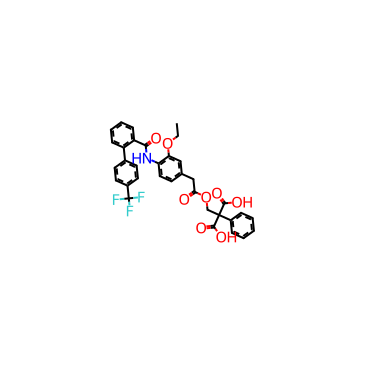 CCOc1cc(CC(=O)OCC(C(=O)O)(C(=O)O)c2ccccc2)ccc1NC(=O)c1ccccc1-c1ccc(C(F)(F)F)cc1